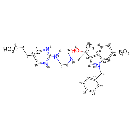 O=C(O)CCc1cnc(N2CCN(CC(O)(c3cn(Cc4ccccc4)c4cc([N+](=O)[O-])ccc34)C(F)(F)F)CC2)nc1